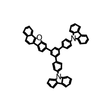 c1ccc2c(c1)ccc1c3ccc(-c4cc(-c5ccc(-n6c7ccccc7c7ccccc76)cc5)cc(-c5ccc(-n6c7ccccc7c7ccccc76)cc5)c4)cc3oc21